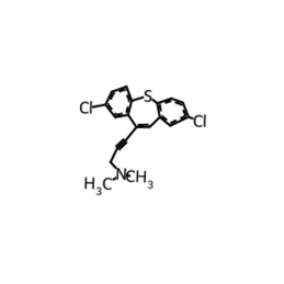 CN(C)CC#CC1=Cc2cc(Cl)ccc2Sc2ccc(Cl)cc21